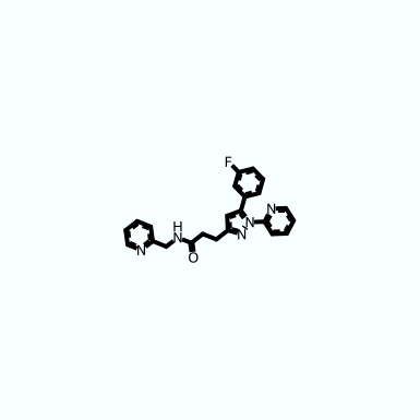 O=C(CCc1cc(-c2cccc(F)c2)n(-c2ccccn2)n1)NCc1ccccn1